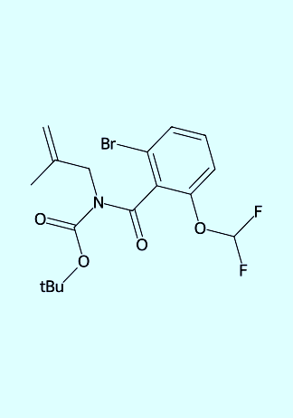 C=C(C)CN(C(=O)OC(C)(C)C)C(=O)c1c(Br)cccc1OC(F)F